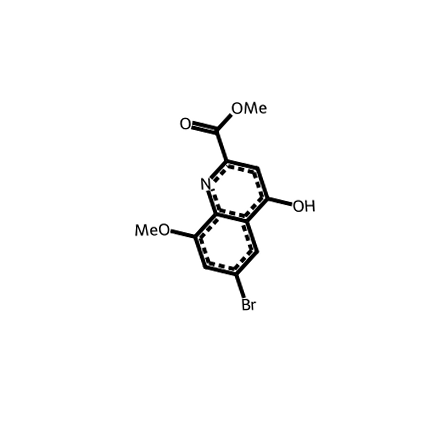 COC(=O)c1cc(O)c2cc(Br)cc(OC)c2n1